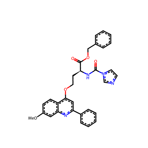 COc1ccc2c(OCC[C@H](NC(=O)n3ccnc3)C(=O)OCc3ccccc3)cc(-c3ccccc3)nc2c1